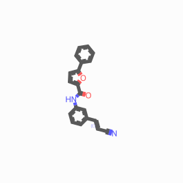 N#C/C=C/c1cccc(NC(=O)c2ccc(-c3ccccc3)o2)c1